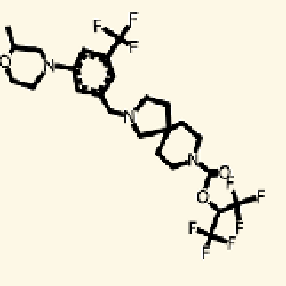 CC1CN(c2cc(CN3CCC4(CCN(C(=O)OC(C(F)(F)F)C(F)(F)F)CC4)C3)cc(C(F)(F)F)c2)CCO1